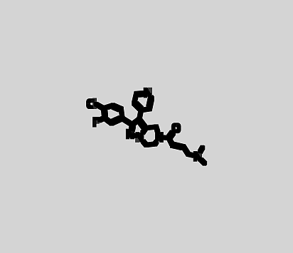 CN(C)C/C=C/C(=O)N1CCn2nc(-c3ccc(Cl)c(F)c3)c(-c3ccncc3)c2C1